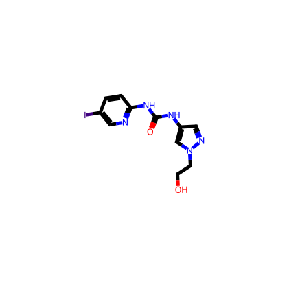 O=C(Nc1cnn(CCO)c1)Nc1ccc(I)cn1